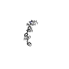 C/C(N)=C(\C)C(=N)N(F)c1cnc2[nH]c(-c3ccnc(C(=O)NCCN4CCOCC4)c3)cc2c1